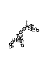 CC(C)[C@H](NC(=O)OC1CCCC1)C(=O)N1C[C@H](OC(=O)N2Cc3ccc4c(c3C2)OCO4)CC1c1ncc(-c2ccc(-c3ccc(-c4c[nH]c([C@@H]5CCCN5C(=O)[C@@H](NC(=O)OC5CCCC5)C(C)C)n4)cc3)cc2)[nH]1